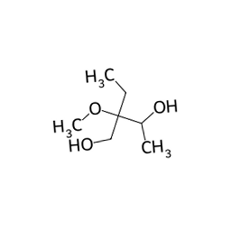 CCC(CO)(OC)C(C)O